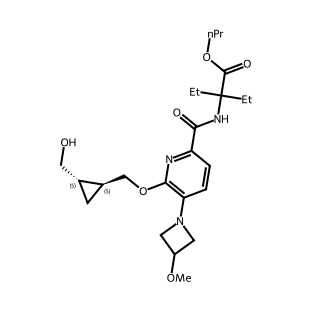 CCCOC(=O)C(CC)(CC)NC(=O)c1ccc(N2CC(OC)C2)c(OC[C@H]2C[C@@H]2CO)n1